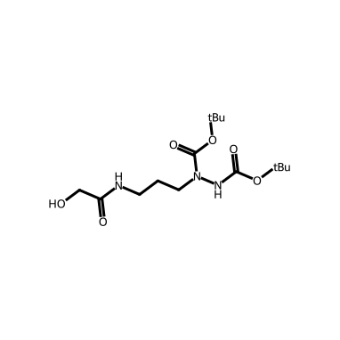 CC(C)(C)OC(=O)NN(CCCNC(=O)CO)C(=O)OC(C)(C)C